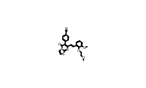 COCCOc1c(C=Cc2nc3sccn3c(=O)c2-c2ccc(C#N)cc2)cccc1OC